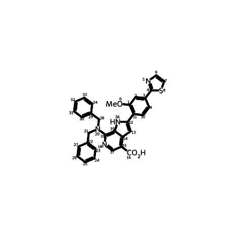 COc1cc(-c2nccs2)ccc1-c1cc2c(C(=O)O)cnc(N(Cc3ccccc3)Cc3ccccc3)c2[nH]1